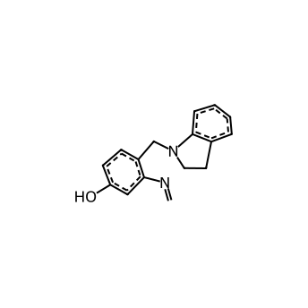 C=Nc1cc(O)ccc1CN1CCc2ccccc21